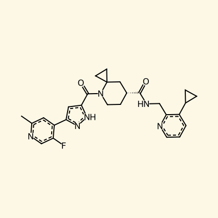 Cc1cc(-c2cc(C(=O)N3CC[C@@H](C(=O)NCc4ncccc4C4CC4)CC34CC4)[nH]n2)c(F)cn1